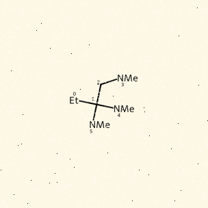 CCC([CH]NC)(NC)NC